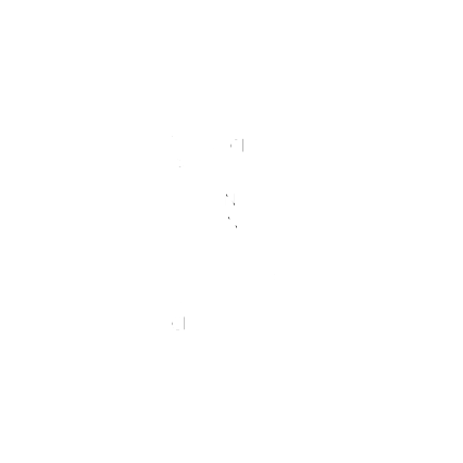 Clc1ccc(C2CC(c3sccc3Cl)=NN2c2ccccc2)cc1